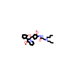 CCCCN(CCCC)CCC(=O)Nc1ccc(C(=O)c2c(-c3ccccc3)c(OC)c3ccccn23)cc1OC